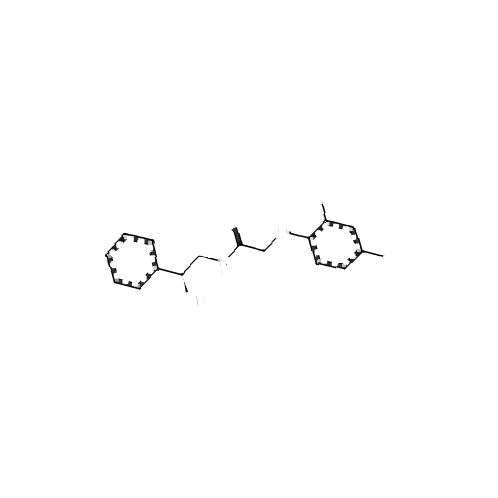 Cc1cc(Cl)ccc1OCC(=O)NC[C@@H](O)c1ccccc1